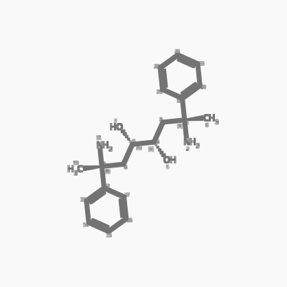 C[C@@](N)(C[C@H](O)[C@@H](O)C[C@@](C)(N)c1ccccc1)c1ccccc1